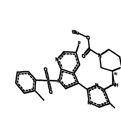 Cc1ccccc1S(=O)(=O)n1cc(-c2ncc(F)c(N[C@@H]3CCCN(C(=O)OC(C)(C)C)C3)n2)c2cc(F)cnc21